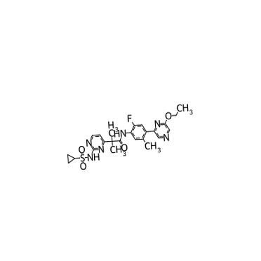 CCOc1cncc(-c2cc(F)c(NC(=O)C(C)(C)c3ccnc(NS(=O)(=O)C4CC4)n3)cc2C)n1